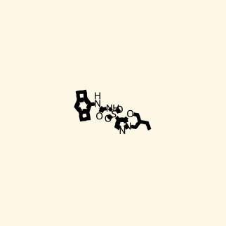 CCC1COc2c(S(=O)(=O)NC(=O)Nc3c4c(cc5c3CC5)CC4)cnn2C1